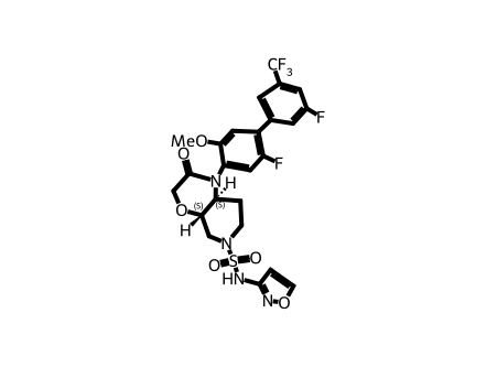 COc1cc(-c2cc(F)cc(C(F)(F)F)c2)c(F)cc1N1C(=O)CO[C@H]2CN(S(=O)(=O)Nc3ccon3)CC[C@@H]21